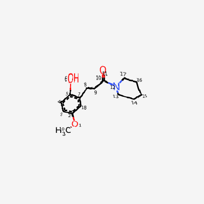 COc1ccc(O)c(CCC(=O)N2CCCCC2)c1